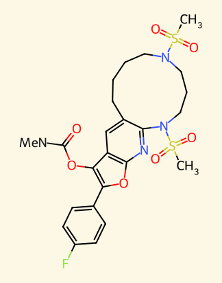 CNC(=O)Oc1c(-c2ccc(F)cc2)oc2nc3c(cc12)CCCCN(S(C)(=O)=O)CCCN3S(C)(=O)=O